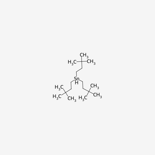 CC(C)(C)C[CH2][SnH]([CH2]CC(C)(C)C)[CH2]CC(C)(C)C